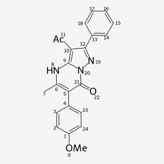 COc1ccc(-c2c(C)[nH]c3c(C(C)=O)c(-c4ccccc4)nn3c2=O)cc1